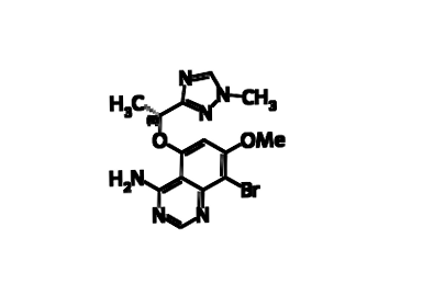 COc1cc(O[C@H](C)c2ncn(C)n2)c2c(N)ncnc2c1Br